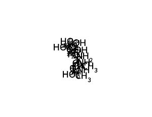 C[C@H](NC(=O)[C@H](C)NC(=O)C(N)CC(F)(F)[C@@H]1O[C@H](CO)[C@H](O)[C@H](O)[C@H]1O)C(=O)O